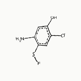 Nc1cc(O)c(Cl)cc1SF